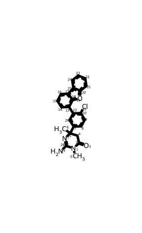 CN1C(=O)CC(C)(c2ccc(Cl)c(-c3cccc4c3oc3ccccc34)c2)N=C1N